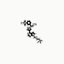 CCS(=O)(=O)c1cccc(C(CC#N)n2cc(-c3ncnc4c3ccn4COCC[Si](C)(C)C)cn2)c1